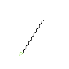 [CH2]CCCCCCCCCCCCCCCF